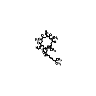 CNCCC(=O)N(C)CC(=O)N(C)CC(=O)N(C)CC(=O)N(C)CC(=O)N(C)CC(=O)NCCCCC(C)C